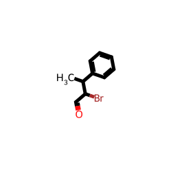 CC(c1ccccc1)C(Br)C=O